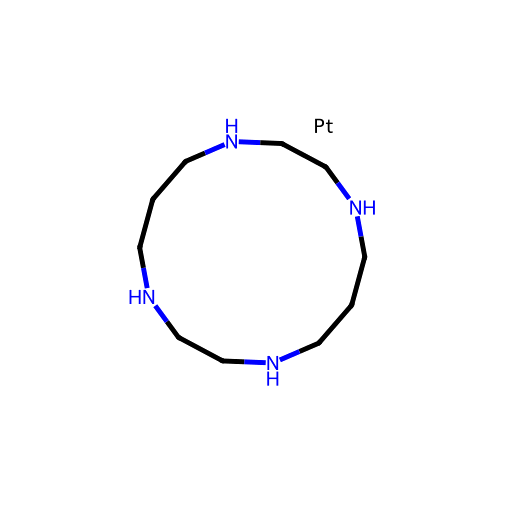 C1CNCCNCCCNCCNC1.[Pt]